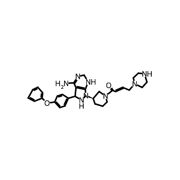 NC1=NCNC2=C1C(c1ccc(Oc3ccccc3)cc1)NN2[C@@H]1CCCN(C(=O)/C=C/CN2CCNCC2)C1